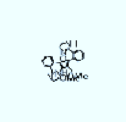 COCc1c(-c2ccccc2C2=NCCN2)oc(-c2ccccc2C2=NCCN2)c1COC